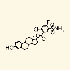 C[C@]12CCC3c4ccc(O)cc4CCC3C1CC[C@@H]2OC(=O)c1cc(S(N)(=O)=O)c(F)cc1Cl